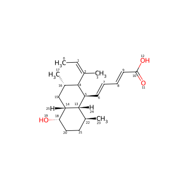 C/C=C(/C)C1[C@@H](/C=C/C=C/C(=O)O)[C@H]2[C@@H](C[C@@H]1C)[C@@H](O)CC[C@@H]2C